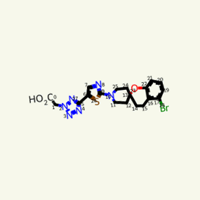 O=C(O)Cn1nnc(-c2cnc(N3CCC4(CCc5c(Br)cccc5O4)CC3)s2)n1